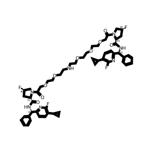 O=C(N[C@@H](c1ccccc1)c1ccc(C2CC2)c(F)n1)[C@@H]1C[C@@H](F)CN1C(=O)COCCOCCNCCOCCOCCOCC(=O)N1C[C@H](F)C[C@H]1C(=O)N[C@@H](c1ccccc1)c1ccc(C2CC2)c(F)n1